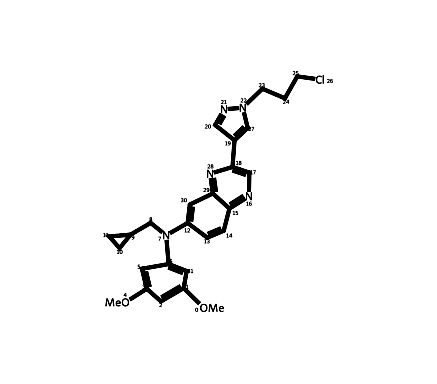 COc1cc(OC)cc(N(CC2CC2)c2ccc3ncc(-c4cnn(CCCCl)c4)nc3c2)c1